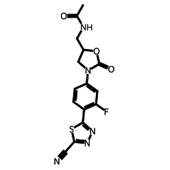 CC(=O)NCC1CN(c2ccc(-c3nnc(C#N)s3)c(F)c2)C(=O)O1